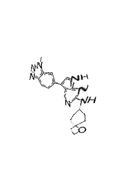 Cn1nnc2ccc(-c3c[nH]c4nc(N[C@H]5CC[C@]6(CCO6)CC5)ncc34)cc21